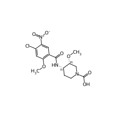 COc1cc(Cl)c([N+](=O)[O-])cc1C(=O)N[C@H]1CCN(C(=O)O)C[C@H]1OC